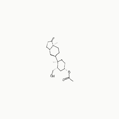 C=C1CCC2CC([C@@]3(C)CC[C@H](OC(C)=O)C[C@@H]3CO)CC[C@]12C